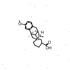 COc1ccc2c(c1)[C@]1(C)CCN(C)[C@H](C2)C1N1CCCC(C(=O)O)C1